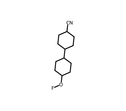 N#CC1CCC(C2CCC(OF)CC2)CC1